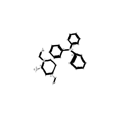 CC(C)CN1CC[C@H](CBr)C[C@@H]1C(F)(F)F.c1ccc(P(c2ccccc2)c2ccccc2)cc1